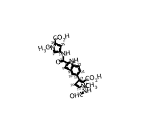 Cn1cc(NC(=O)c2cc3cc(C4=C(C(=O)O)[N+](C)(NC=O)C=C4)ccc3[nH]2)cc1C(=O)O